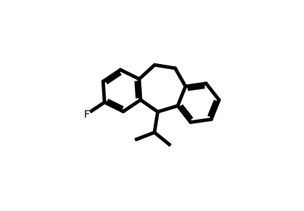 CC(C)C1c2ccccc2CCc2ccc(F)cc21